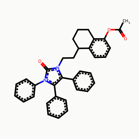 CC(=O)Oc1cccc2c1CCCC2CCn1c(-c2ccccc2)c(-c2ccccc2)n(-c2ccccc2)c1=O